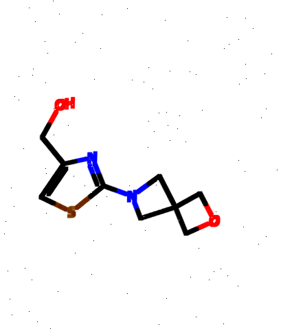 OCc1csc(N2CC3(COC3)C2)n1